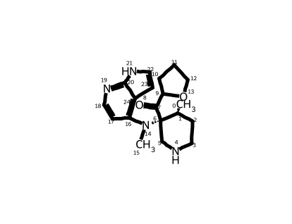 C[C@@H]1CCNC[C@]1(C(=O)C1CCCO1)N(C)c1ccnc2[nH]ccc12